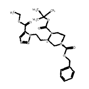 CCOC(=O)c1cnnn1CC[C@@H]1CN(C(=O)OCc2ccccc2)CCN1C(=O)OC(C)(C)C